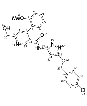 COc1ccccc1-c1cc(CO)ncc1C(=O)Nc1nnc(OCc2ccc(Cl)cn2)s1